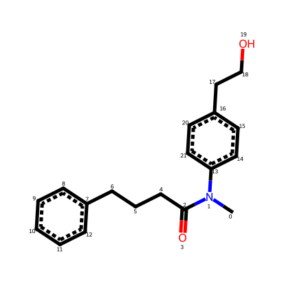 CN(C(=O)CCCc1ccccc1)c1ccc(CCO)cc1